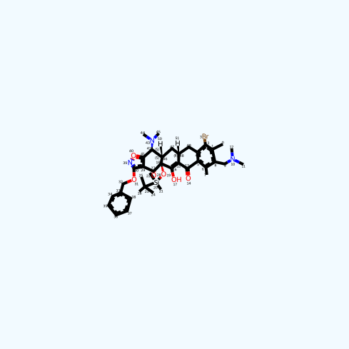 Cc1c(Br)c2c(c(C)c1CN(C)C)C(=O)C1=C(O)[C@]3(O[Si](C)(C)C(C)(C)C)C(=O)c4c(OCc5ccccc5)noc4[C@@H](N(C)C)[C@@H]3C[C@@H]1C2